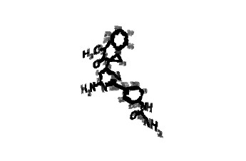 CC(C(=O)C1(c2cc(N)nc(-c3ccc(NC(N)=O)cc3)n2)CC1)c1ccccc1